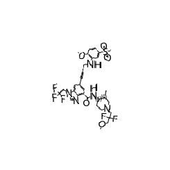 COCC(F)(F)CN1CC[C@H](NC(=O)c2cc(C#CCNc3cc(S(C)(=O)=O)ccc3OC)cc3c2ncn3CC(F)(F)F)[C@@H](C)C1